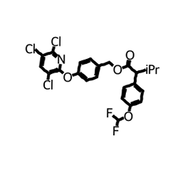 CC(C)C(C(=O)OCc1ccc(Oc2nc(Cl)c(Cl)cc2Cl)cc1)c1ccc(OC(F)F)cc1